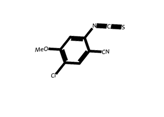 COc1cc(N=C=S)c(C#N)cc1Cl